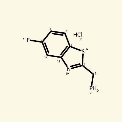 Cl.Fc1ccc2sc(CP)nc2c1